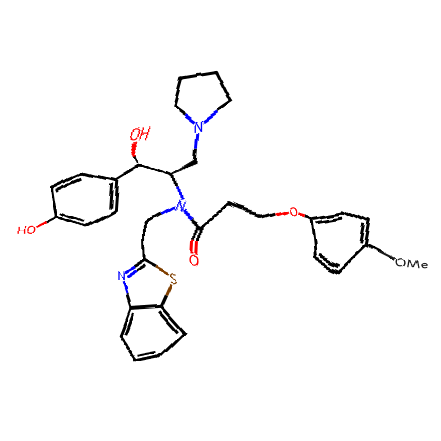 COc1ccc(OCCC(=O)N(Cc2nc3ccccc3s2)[C@H](CN2CCCC2)[C@H](O)c2ccc(O)cc2)cc1